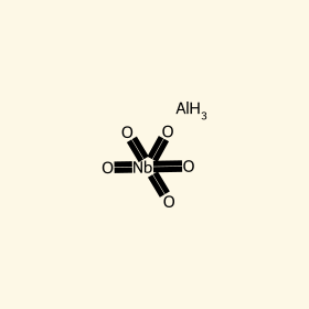 [AlH3].[O]=[Nb](=[O])(=[O])(=[O])=[O]